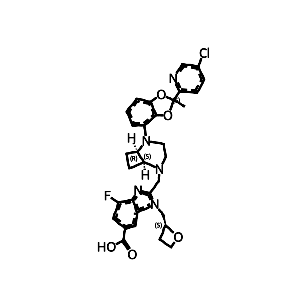 C[C@]1(c2ccc(Cl)cn2)Oc2cccc(N3CCN(Cc4nc5c(F)cc(C(=O)O)cc5n4C[C@@H]4CCO4)[C@H]4CC[C@H]43)c2O1